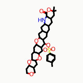 Cc1ccc(S(=O)(=O)OC2C3CC4CC5CC6CC(C)(C)OC(=O)C6NC5CC4CC3OC3CC4CC5OC6CCOCC6CC5OC4CC32)cc1